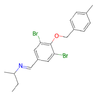 CCC(C)N=Cc1cc(Br)c(OCc2ccc(C)cc2)c(Br)c1